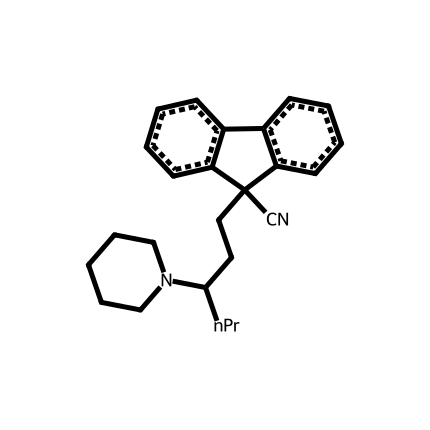 CCCC(CCC1(C#N)c2ccccc2-c2ccccc21)N1CCCCC1